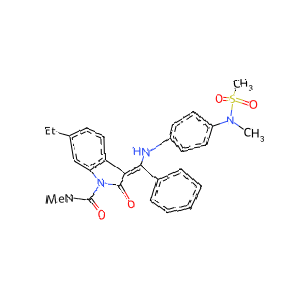 CCc1ccc2c(c1)N(C(=O)NC)C(=O)C2=C(Nc1ccc(N(C)S(C)(=O)=O)cc1)c1ccccc1